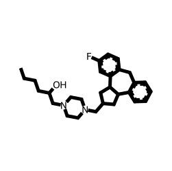 CCCCC(O)CN1CCN(CC2CC3c4ccccc4Cc4ccc(F)cc4C3C2)CC1